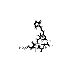 CC(NC(=O)C(NC(=O)CCCCCN1C(=O)C=CC1=O)C(C)C)C(=O)NC(CCC(=O)O)C(=O)OCC[Si](C)(C)C